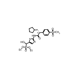 CCOP(=O)(OCC)C(O)c1cnc(NC(=O)[C@H](CC2CCCC2)c2ccc(S(C)(=O)=O)cc2)s1